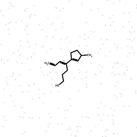 C=C/C=C(\CCCS)C1=CC(C)CC1